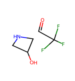 O=CC(F)(F)F.OC1CNC1